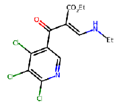 CCNC=C(C(=O)OCC)C(=O)c1cnc(Cl)c(Cl)c1Cl